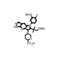 COCC(C)(C)c1c([C@@H]2CCC(C(=O)O)OC2)c2nc3[nH]ncc3cc2n1-c1ccc(F)c(OC)c1